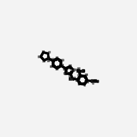 COc1ccc(Nc2nc(-c3ccc(N4CCCC4)cc3)cs2)c(OC)c1